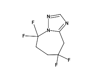 FC1(F)CCC(F)(F)n2ncnc2C1